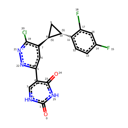 O=c1[nH]cc(-c2cc([C@H]3C[C@@H]3c3ccc(F)cc3F)c(Cl)nn2)c(=O)[nH]1